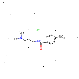 CCN(CC)CCCNC(=O)c1ccc([N+](=O)[O-])cc1.Cl